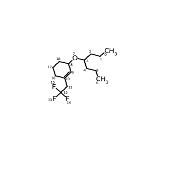 CCCC(CCC)OC1C=C(CC(F)(F)F)CCC1